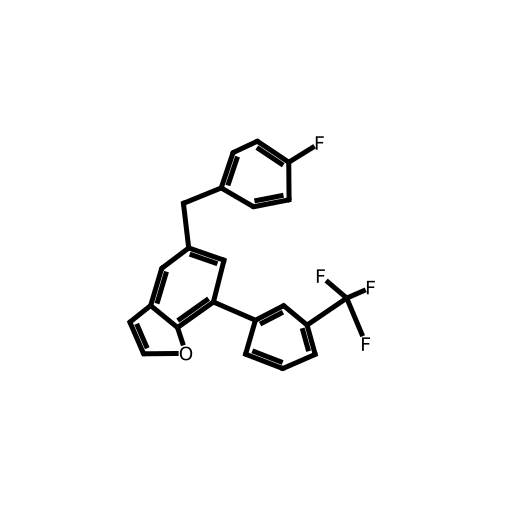 Fc1ccc(Cc2cc(-c3cccc(C(F)(F)F)c3)c3occc3c2)cc1